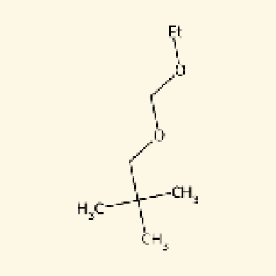 CCOCOCC(C)(C)C